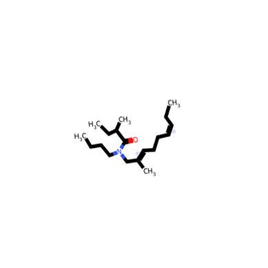 CC/C=C\CC/C=C(\C)CN(CCCC)C(=O)C(C)CC